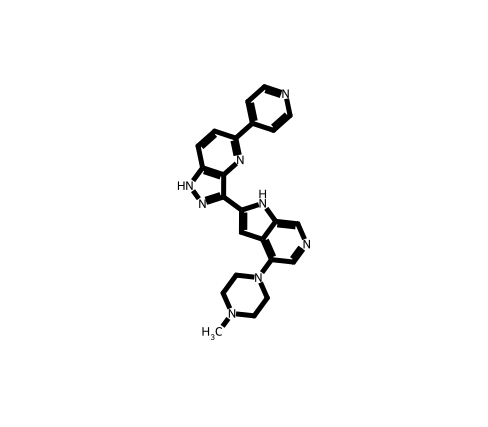 CN1CCN(c2cncc3[nH]c(-c4n[nH]c5ccc(-c6ccncc6)nc45)cc23)CC1